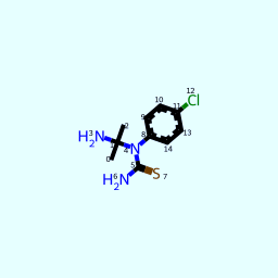 CC(C)(N)N(C(N)=S)c1ccc(Cl)cc1